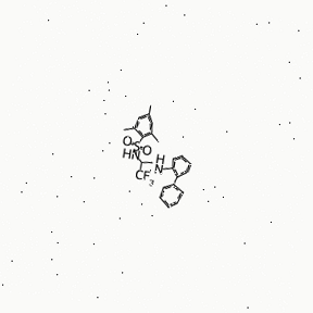 Cc1cc(C)c(S(=O)(=O)NC(CNc2ccccc2-c2ccccc2)C(F)(F)F)c(C)c1